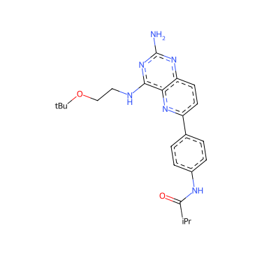 CC(C)C(=O)Nc1ccc(-c2ccc3nc(N)nc(NCCOC(C)(C)C)c3n2)cc1